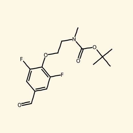 CN(CCOc1c(F)cc(C=O)cc1F)C(=O)OC(C)(C)C